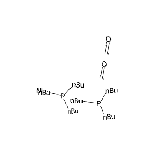 CCCCP(CCCC)CCCC.CCCCP(CCCC)CCCC.[C]=O.[C]=O.[Ni]